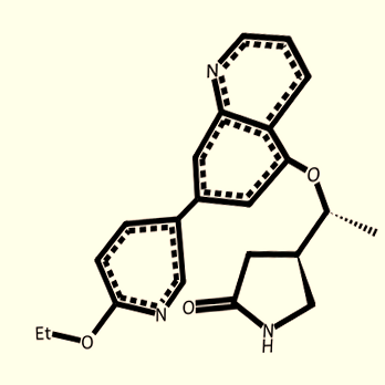 CCOc1ccc(-c2cc(O[C@H](C)[C@H]3CNC(=O)C3)c3cccnc3c2)cn1